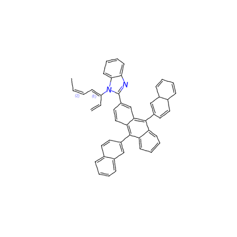 C=C/C(=C\C=C/C)n1c(-c2ccc3c(-c4ccc5ccccc5c4)c4ccccc4c(C4=CC5C=CC=CC5C=C4)c3c2)nc2ccccc21